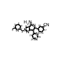 Cc1cccc(Cn2cc3c(N)nc(-c4cccc(C#N)c4)c(-c4ccncn4)c3n2)n1